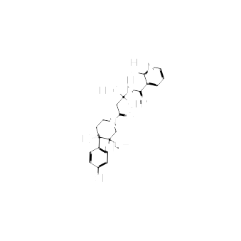 Cc1ncccc1C(=O)NC(C)(C)CC(=O)N1CC[C@](O)(c2ccc(Cl)cc2)C(C)(C)C1